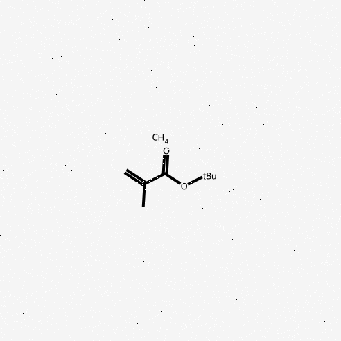 C.C=C(C)C(=O)OC(C)(C)C